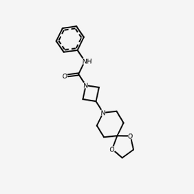 O=C(Nc1ccccc1)N1CC(N2CCC3(CC2)OCCO3)C1